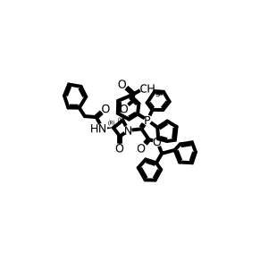 CC(=O)CO[C@H]1[C@@H](NC(=O)Cc2ccccc2)C(=O)N1C(C(=O)OC(c1ccccc1)c1ccccc1)=P(c1ccccc1)(c1ccccc1)c1ccccc1